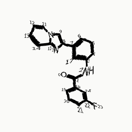 O=C(Nc1cccc(-c2cn3ccccc3n2)c1)c1cccc(F)c1